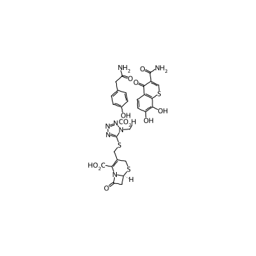 NC(=O)Cc1ccc(O)cc1.NC(=O)c1csc2c(O)c(O)ccc2c1=O.O=C(O)Cn1nnnc1SCC1=C(C(=O)O)N2C(=O)C[C@@H]2SC1